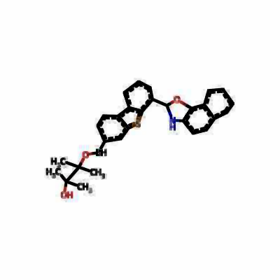 CC(C)(O)C(C)(C)OBc1ccc2c(c1)sc1c(C3Nc4ccc5ccccc5c4O3)cccc12